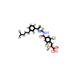 COC(=Cc1c(Cl)cc(C(=O)Nc2nc(-c3cccc(CCCC(C)C)c3F)cs2)cc1Cl)C(=O)O